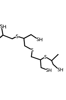 CC(S)CSC(CS)CSCC(CS)SC(C)CS